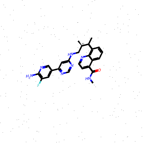 CNC(=O)c1ccnc2c(C(C)[C@H](C)CNc3cc(-c4cnc(N)c(F)c4)ncn3)cccc12